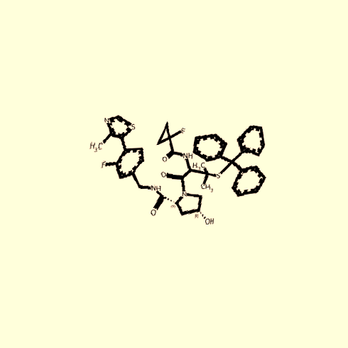 Cc1ncsc1-c1ccc(CNC(=O)[C@H]2C[C@@H](O)CN2C(=O)C(NC(=O)C2(F)CC2)C(C)(C)SC(c2ccccc2)(c2ccccc2)c2ccccc2)cc1F